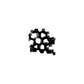 CCCc1n[nH]c2c1C(c1cc(OC)ccc1OC)C(C#N)=C(N)O2